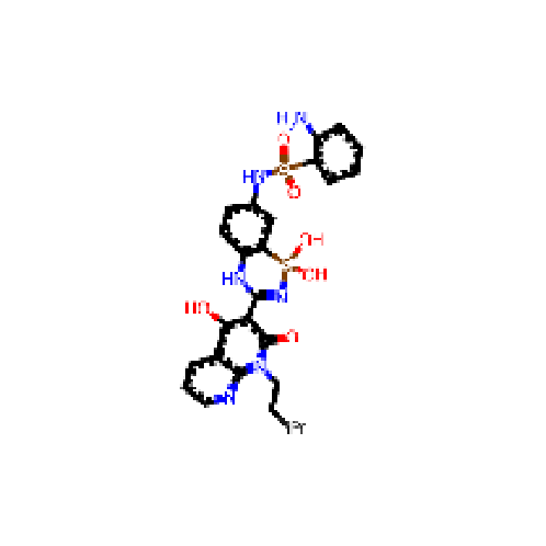 CC(C)CCn1c(=O)c(C2=NS(O)(O)c3cc(NS(=O)(=O)c4ccccc4N)ccc3N2)c(O)c2cccnc21